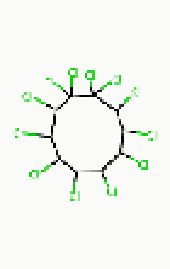 ClC1C(Cl)C(Cl)C(Cl)C(Cl)C(Cl)(Cl)C(Cl)(Cl)C(Cl)C(Cl)C1Cl